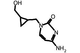 Nc1ccn(CC2CC2CO)c(=O)n1